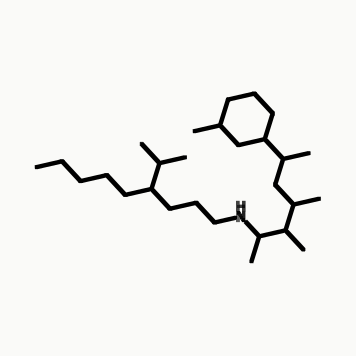 CCCCCC(CCCNC(C)C(C)C(C)CC(C)C1CCCC(C)C1)C(C)C